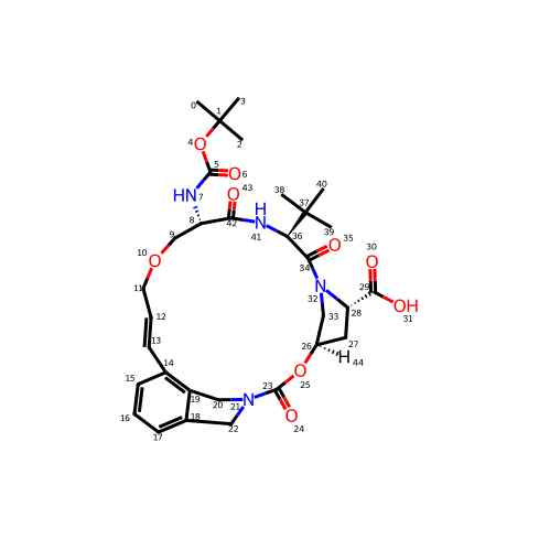 CC(C)(C)OC(=O)N[C@H]1COC/C=C/c2cccc3c2CN(C3)C(=O)O[C@@H]2C[C@@H](C(=O)O)N(C2)C(=O)[C@H](C(C)(C)C)NC1=O